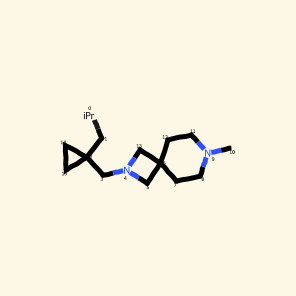 CC(C)CC1(CN2CC3(CCN(C)CC3)C2)CC1